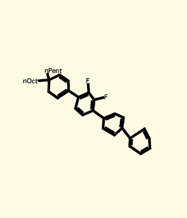 CCCCCCCCC1(CCCCC)C=CC(c2ccc(-c3ccc(-c4ccccc4)cc3)c(F)c2F)=CC1